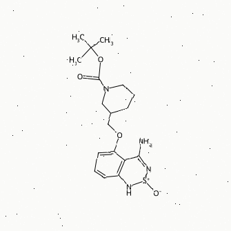 CC(C)(C)OC(=O)N1CCCC(COc2cccc3c2C(N)=N[S+]([O-])N3)C1